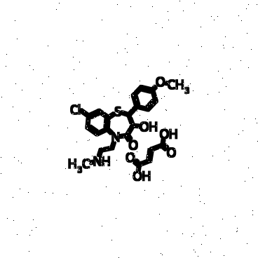 CNCCN1C(=O)C(O)C(c2ccc(OC)cc2)Sc2cc(Cl)ccc21.O=C(O)C=CC(=O)O